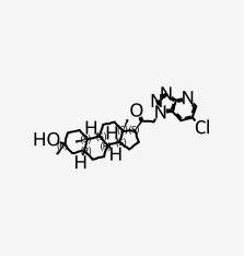 C[C@@]1(O)CC[C@@]2(C)[C@H](CC[C@@H]3[C@@H]2CC[C@]2(C)[C@@H](C(=O)Cn4nnc5ncc(Cl)cc54)CC[C@@H]32)C1